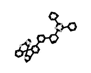 C1#CC(c2cccc(-c3ccc4c(c3)C3(c5ccccc5Oc5ccccc53)c3ccccc3-4)c2)=CC(c2nc(-c3ccccc3)nc(-c3ccccc3)n2)C1